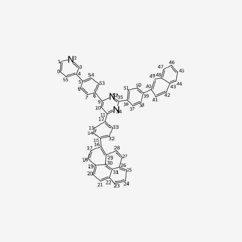 c1cncc(-c2ccc(-c3cc(-c4ccc(-c5ccc6ccc7cccc8ccc5c6c78)cc4)nc(-c4ccc(-c5ccc6ccccc6c5)cc4)n3)cc2)c1